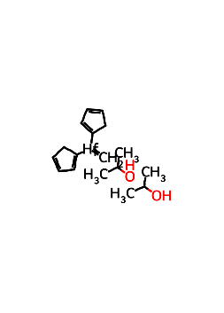 CC(C)O.CC(C)O.[CH2]=[Hf]([C]1=CC=CC1)[C]1=CC=CC1